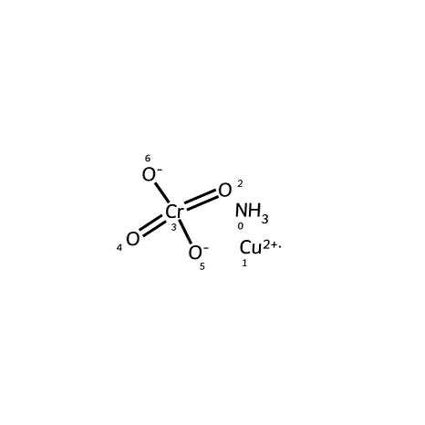 N.[Cu+2].[O]=[Cr](=[O])([O-])[O-]